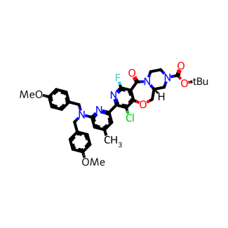 COc1ccc(CN(Cc2ccc(OC)cc2)c2cc(C)cc(-c3nc(F)c4c(c3Cl)OC[C@H]3CN(C(=O)OC(C)(C)C)CCN3C4=O)n2)cc1